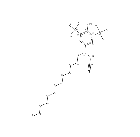 CCCCCCCCCCCCCC(SC#N)c1cc(C(C)(C)C)c(O)c(C(C)(C)C)c1